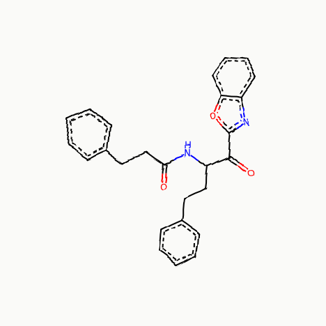 O=C(CCc1ccccc1)NC(CCc1ccccc1)C(=O)c1nc2ccccc2o1